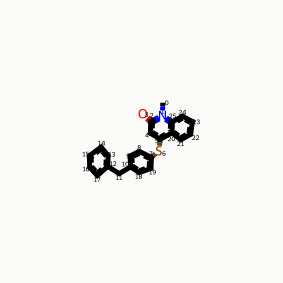 Cn1c(=O)cc(Sc2ccc(Cc3ccccc3)cc2)c2ccccc21